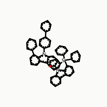 c1ccc(-c2ccc(-n3c4ccc(-n5c6ccccc6c6cccc([Si](c7ccccc7)(c7ccccc7)c7ccccc7)c65)cc4c4cccc(-c5ccccc5)c43)cc2)cc1